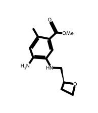 COC(=O)c1cc(NC[C@@H]2CCO2)c(N)cc1C